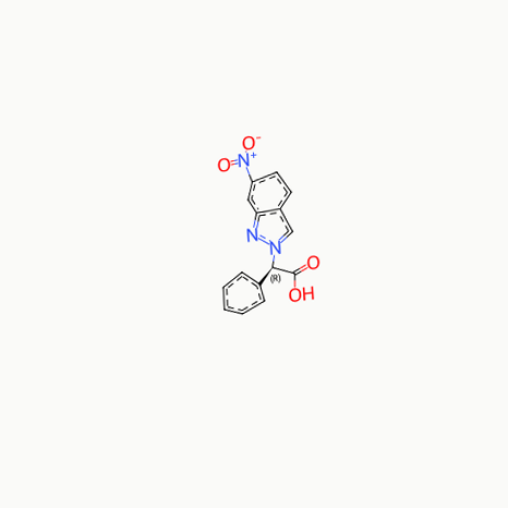 O=C(O)[C@@H](c1ccccc1)n1cc2ccc([N+](=O)[O-])cc2n1